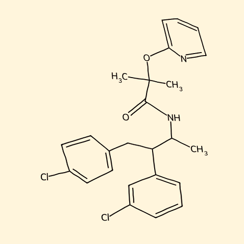 CC(NC(=O)C(C)(C)Oc1ccccn1)C(Cc1ccc(Cl)cc1)c1cccc(Cl)c1